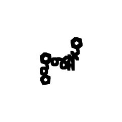 CC(C)(Cc1ccccc1)NCC(O)COc1ccccc1COC1CCCC1